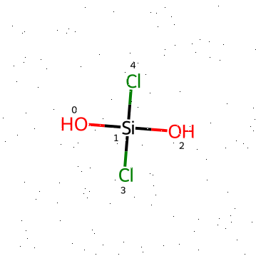 O[Si](O)(Cl)Cl